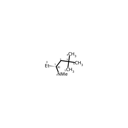 CC[C@H](CC(C)(C)C)NC